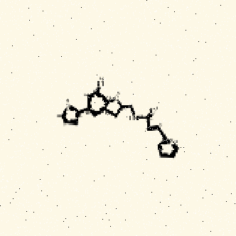 O=C(C=Cc1ccccn1)NCC1Cc2cc(-c3cccs3)cc(Cl)c2O1